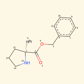 CCC[C@@]1(C(=O)OCc2ccccc2)CCCN1